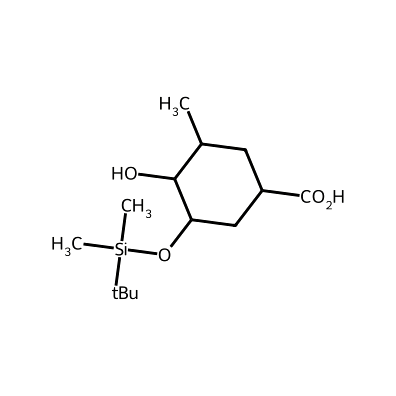 CC1CC(C(=O)O)CC(O[Si](C)(C)C(C)(C)C)C1O